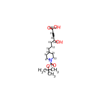 CC(C)(C)OC(=O)N1CCC(CCC[C@H](O)C#CC(=O)O)CC1